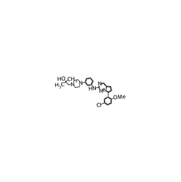 COc1ccc(Cl)cc1-c1ccc2cnc(Nc3cccc(N4CCN(CC(C)(C)O)CC4)c3)nn12